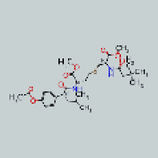 COC(=O)[C@H](CSCC[C@H](NC(=O)[C@H](CC(C)C)c1ccc(OC(C)=O)cc1)C(=O)OC)NC(=O)CC(C)(C)C